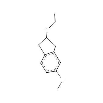 CCNC1Cc2ccc(OC)cc2C1